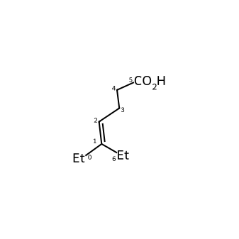 CCC(=CCCC(=O)O)CC